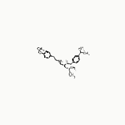 COc1ccc(CCNCC(CC(C)C)NCc2ccc(C(C)C)cc2)cc1